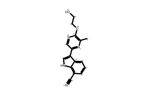 Cc1nc(-c2c[nH]c3c(C#N)cccc23)cnc1OCCO